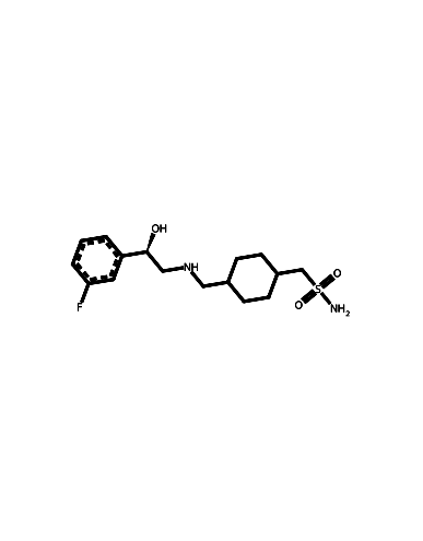 NS(=O)(=O)CC1CCC(CNC[C@H](O)c2cccc(F)c2)CC1